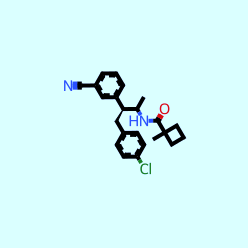 CC(NC(=O)C1(C)CCC1)[C@@H](Cc1ccc(Cl)cc1)c1cccc(C#N)c1